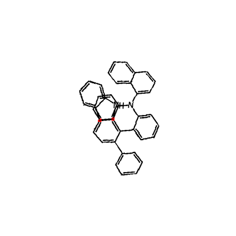 c1ccc(-c2ccc3c([nH]c4ccccc43)c2-c2ccccc2N(c2ccccc2)c2cccc3ccccc23)cc1